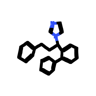 c1ccc(CCC(c2ccccc2-c2ccccc2)n2ccnc2)cc1